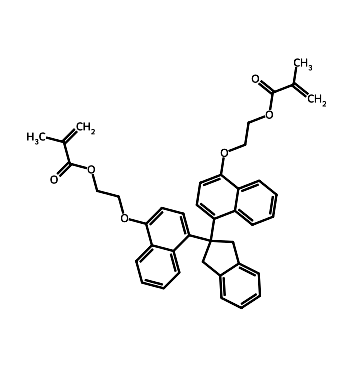 C=C(C)C(=O)OCCOc1ccc(C2(c3ccc(OCCOC(=O)C(=C)C)c4ccccc34)Cc3ccccc3C2)c2ccccc12